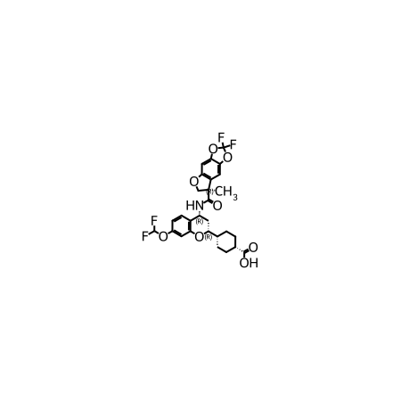 C[C@]1(C(=O)N[C@@H]2C[C@H]([C@H]3CC[C@@H](C(=O)O)CC3)Oc3cc(OC(F)F)ccc32)COc2cc3c(cc21)OC(F)(F)O3